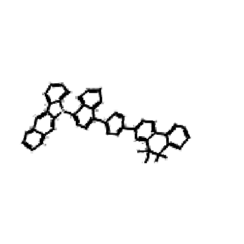 CC1(C)c2ccccc2-c2ccc(-c3ccc(-c4ccc(-n5c6ccccc6c6cc7ccccc7cc65)c5ccccc45)cc3)cc2C1(C)C